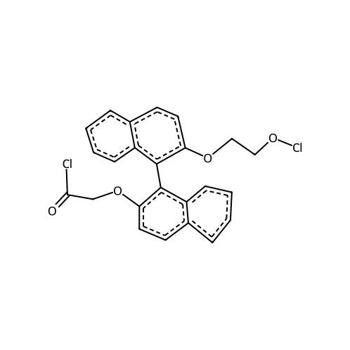 O=C(Cl)COc1ccc2ccccc2c1-c1c(OCCOCl)ccc2ccccc12